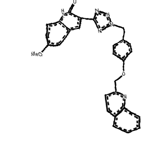 COc1ccc2[nH]c(=O)c(-c3nnn(Cc4ccc(OCc5ccc6ccccc6n5)cc4)n3)cc2c1